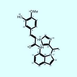 COc1ccc(/C=C/C(=O)Nc2cccc3ccn(C(C)c4c[nH]cn4)c23)cc1O